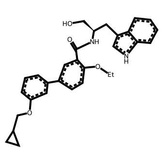 CCOc1ccc(-c2cccc(OCC3CC3)c2)cc1C(=O)N[C@@H](CO)Cc1c[nH]c2ccccc12